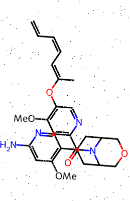 C=C/C=C\C=C(/C)Oc1cnc(C(=O)N2C3COCC2CC(c2cnc(N)cc2OC)C3)cc1OC